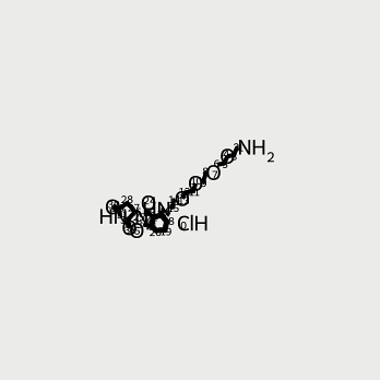 Cl.NCCOCCOCCOCCOCCNc1cccc2c1C(=O)N(C1CCC(=O)NC1=O)C2=O